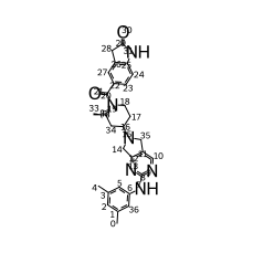 Cc1cc(C)cc(Nc2ncc3c(n2)CN(C2CCN(C(=O)c4ccc5c(c4)CC(=O)N5)[C@H](C)C2)C3)c1